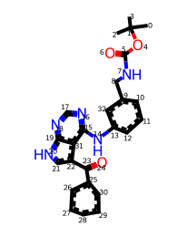 CC(C)(C)OC(=O)NCc1cccc(Nc2ncnc3[nH]cc(C(=O)c4ccccc4)c23)c1